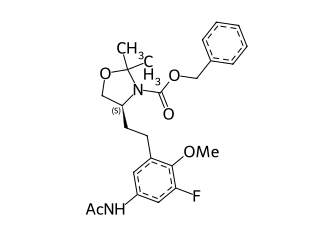 COc1c(F)cc(NC(C)=O)cc1CC[C@H]1COC(C)(C)N1C(=O)OCc1ccccc1